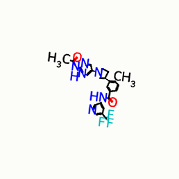 CC(=O)Nc1ncc(N2CC[C@@H](c3cc(C(=O)Nc4cncc(C(F)(F)F)c4)ccc3C)C2)cn1